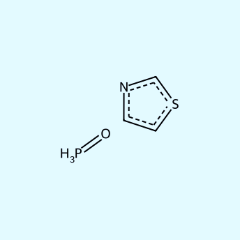 O=[PH3].c1cscn1